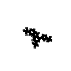 CC(C)(C)C1=CCC(c2cc(C(C)(C)C)cc3c2[CH]c2ccc(C(C)(C)C)cc2-3)=C1